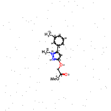 COC(=O)COc1cc(-c2cccc(C)c2)n(C)n1